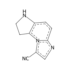 N#Cc1cnc2ccc3c(n12)CCN3